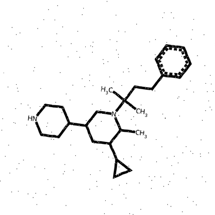 CC1C(C2CC2)CC(C2CCNCC2)CN1C(C)(C)CCc1ccccc1